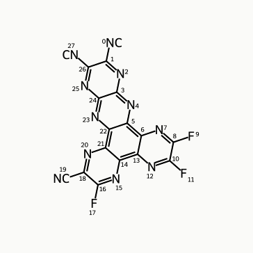 [C-]#[N+]c1nc2nc3c4nc(F)c(F)nc4c4nc(F)c(C#N)nc4c3nc2nc1[N+]#[C-]